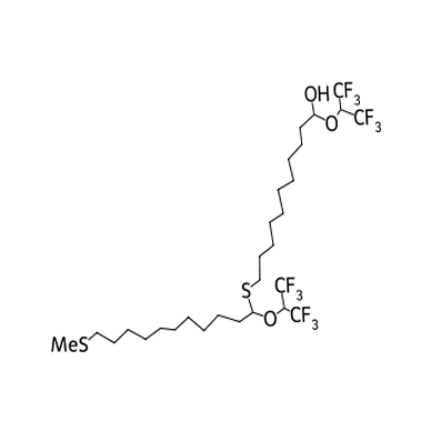 CSCCCCCCCCCCC(OC(C(F)(F)F)C(F)(F)F)SCCCCCCCCCCC(O)OC(C(F)(F)F)C(F)(F)F